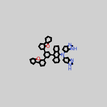 c1ccc2c(c1)oc1c(-c3cc(-c4c5ccccc5c(N(c5ccc6[nH]cnc6c5)c5ccc6nc[nH]c6c5)c5ccccc45)cc(-c4cccc5c4oc4ccccc45)c3)cccc12